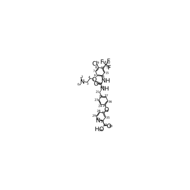 CN(C)CCOc1cc(Cl)c(C(F)(F)F)cc1NC(=O)NCc1ccc(Oc2ccnc(C(=O)O)c2)cc1